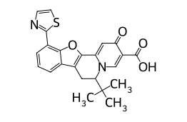 CC(C)(C)C1Cc2c(oc3c(-c4nccs4)cccc23)-c2cc(=O)c(C(=O)O)cn21